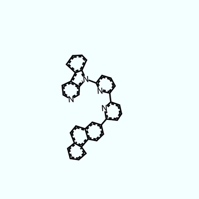 c1cc(-c2ccc3c(ccc4ccccc43)c2)nc(-c2cccc(-n3c4ccccc4c4ccncc43)n2)c1